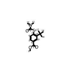 COC(=O)c1ccc(SC(=O)N(C)C)c(C(C)(C)C)c1